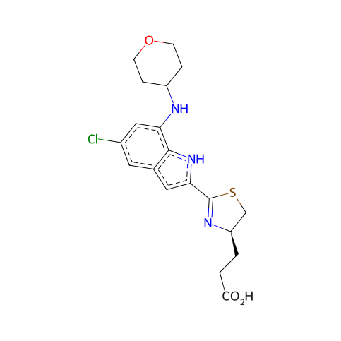 O=C(O)CC[C@@H]1CSC(c2cc3cc(Cl)cc(NC4CCOCC4)c3[nH]2)=N1